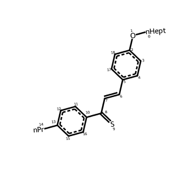 CCCCCCCOc1ccc(C=CC(=S)c2ccc(CCC)cc2)cc1